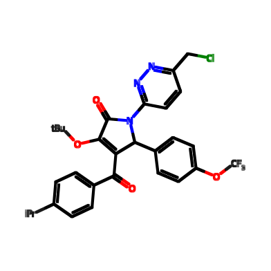 CC(C)c1ccc(C(=O)C2=C(OC(C)(C)C)C(=O)N(c3ccc(CCl)nn3)C2c2ccc(OC(F)(F)F)cc2)cc1